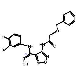 O=C(COCc1ccccc1)Nc1nonc1/C(=N\O)Nc1ccc(F)c(Br)c1